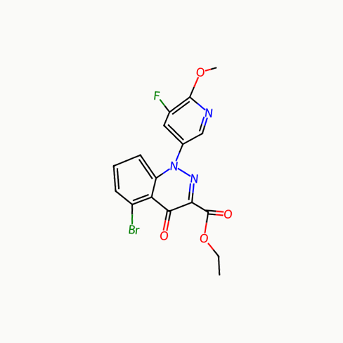 CCOC(=O)c1nn(-c2cnc(OC)c(F)c2)c2cccc(Br)c2c1=O